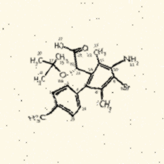 Cc1ccc(-c2c(C)c(Br)c(N)c(C)c2[C@H](OC(C)(C)C)C(=O)O)cc1